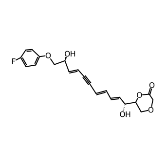 O=C1COCC([C@H](O)/C=C/C=C/C#C/C=C/[C@H](O)COc2ccc(F)cc2)O1